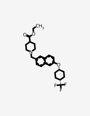 CCOC(=O)C1CCN(Cc2ccc3cc(O[C@H]4CC[C@@H](C(F)(F)F)CC4)ccc3c2)CC1